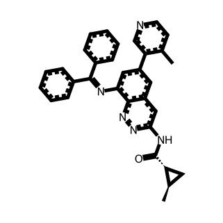 Cc1ccncc1-c1cc(N=C(c2ccccc2)c2ccccc2)c2nnc(NC(=O)[C@@H]3C[C@H]3C)cc2c1